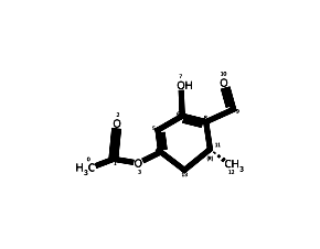 CC(=O)OC1=CC(O)=C(C=O)[C@H](C)C1